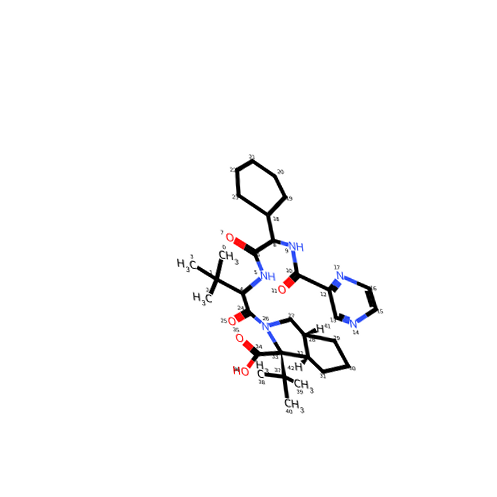 CC(C)(C)C(NC(=O)C(NC(=O)c1cnccn1)C1CCCCC1)C(=O)N1C[C@@H]2CCC[C@@H]2[C@@]1(C(=O)O)C(C)(C)C